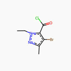 CCn1nc(C)c(Br)c1C(=O)Cl